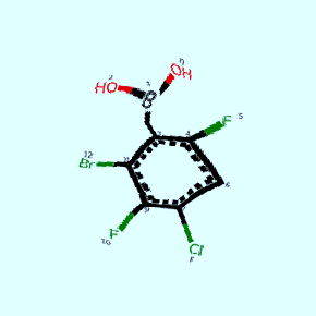 OB(O)c1c(F)cc(Cl)c(F)c1Br